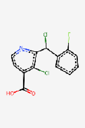 O=C(O)c1ccnc(C(Cl)c2ccccc2F)c1Cl